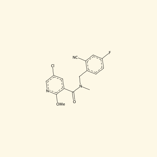 COc1ncc(Cl)cc1C(=O)N(C)Cc1ccc(F)cc1C#N